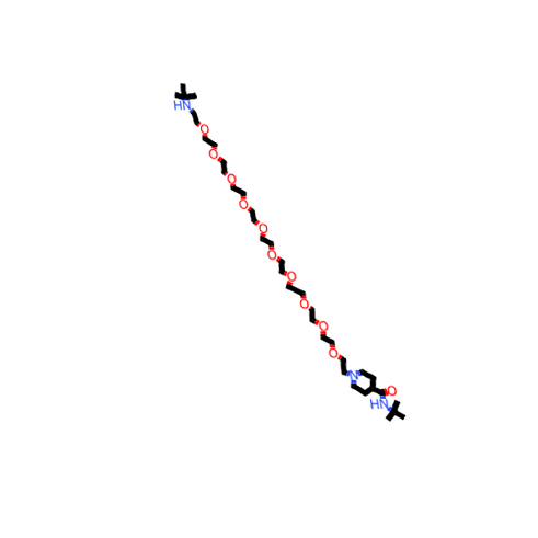 CC(C)(C)NCCOCCOCCOCCOCCOCCOCCOCCOCCOCCOCCN1CCC(C(=O)NC(C)(C)C)CC1